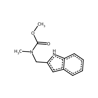 COC(=O)N(C)Cc1cc2ccccc2[nH]1